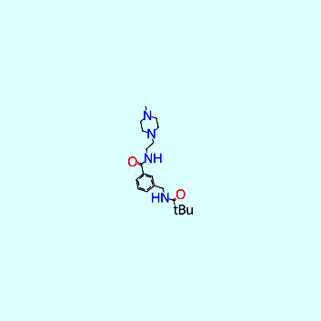 CN1CCN(CCNC(=O)c2cccc(CNC(=O)C(C)(C)C)c2)CC1